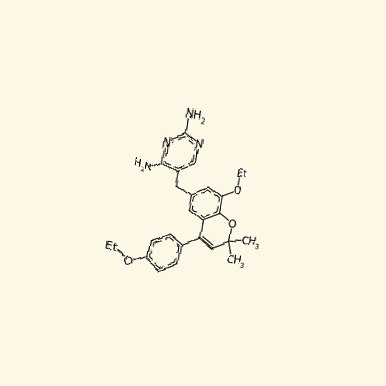 CCOc1ccc(C2=CC(C)(C)Oc3c(OCC)cc(Cc4cnc(N)nc4N)cc32)cc1